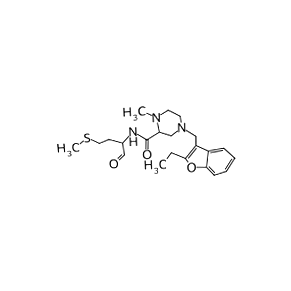 CCc1oc2ccccc2c1CN1CCN(C)C(C(=O)NC(C=O)CCSC)C1